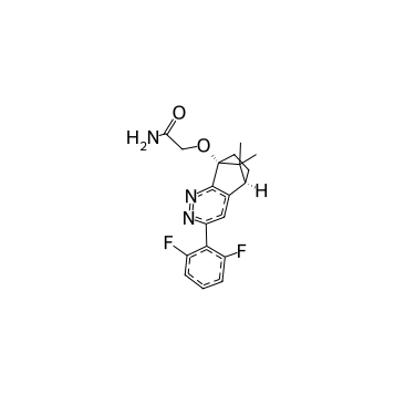 CC1(C)[C@H]2CC[C@]1(OCC(N)=O)c1nnc(-c3c(F)cccc3F)cc12